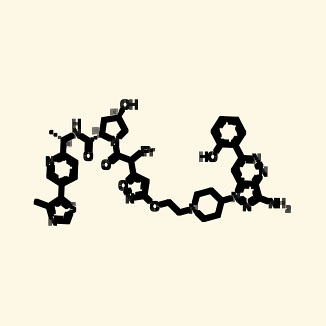 Cc1ncsc1-c1ccc([C@H](C)NC(=O)[C@@H]2C[C@@H](O)CN2C(=O)C(c2cc(OCCN3CCC(n4nc(N)c5nnc(-c6ccccc6O)cc54)CC3)no2)C(C)C)nc1